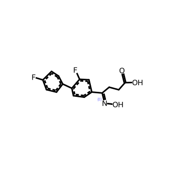 O=C(O)CC/C(=N\O)c1ccc(-c2ccc(F)cc2)c(F)c1